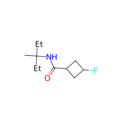 CCC(C)(CC)NC(=O)C1CC(F)C1